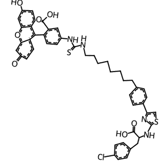 O=C(O)c1cc(NC(=S)NCCCCCCCCc2ccc(-c3csc(NC(Cc4ccc(Cl)cc4)C(=O)O)n3)cc2)ccc1-c1c2ccc(=O)cc-2oc2cc(O)ccc12